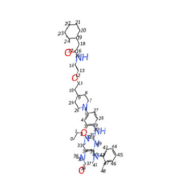 CCOc1cc(N2CCC(CCOCCNC(=O)CC3CCCCC3)CC2)ccc1Nc1ncc(N(C)C=O)c(N(C)c2ccccc2C)n1